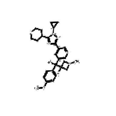 CN1CC(C)(C(O)(c2ccc(OC(F)(F)F)cc2)c2cncc(-c3nc(C4CCOCC4)n(C4CC4)n3)c2)C1